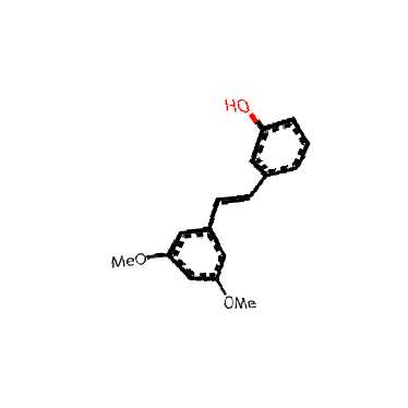 COc1cc(C=Cc2cccc(O)c2)cc(OC)c1